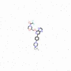 CN1CCN(c2ccc(-c3cc4nccnc4c(OC[C@@H]4CN(C(=O)C(F)F)CCO4)n3)cc2)CC1